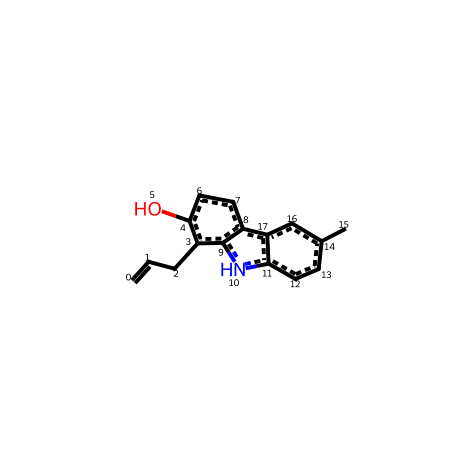 C=CCc1c(O)ccc2c1[nH]c1ccc(C)cc12